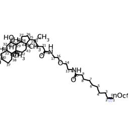 CCCCCCCC/C=C\CCCCCCCC(=O)NCCOCCNC(=O)CC[C@@H](C)C1CC[C@H]2[C@@H]3[C@H](O)C[C@@H]4C[C@H](O)CC[C@]4(C)[C@H]3CC[C@]12C